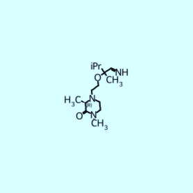 CC(C)C(C)(C=N)OCCN1CCN(C)C(=O)[C@H]1C